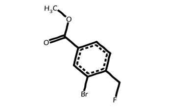 COC(=O)c1ccc(CF)c(Br)c1